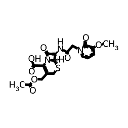 COc1cccn(CC(=O)N[C@@H]2C(=O)N3C(C(=O)O)=C(COC(C)=O)CS[C@H]23)c1=O